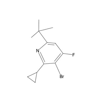 CC(C)(C)c1cc(F)c(Br)c(C2CC2)n1